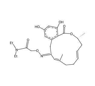 CCN(CC)C(=O)CON=C1/C=C(\C)CC/C=C/C[C@@H](C)OC(=O)c2c(O)cc(O)cc2C1